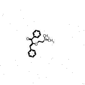 CN(C)CCOC(=Cc1ccccc1)C(=O)c1ccccc1